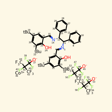 CC(C)(C)c1cc(C=N[C@H](c2ccccc2)[C@H](N=Cc2cc(C(C)(C)C)cc(C(C)(C)C)c2O)c2ccccc2)c(O)c(C(C)(C)C)c1.[Co+3].[O-]C(F)(F)C(F)(C(F)(F)F)C(F)(F)F.[O-]C(F)(F)C(F)(C(F)(F)F)C(F)(F)F.[O-]C(F)(F)C(F)(C(F)(F)F)C(F)(F)F